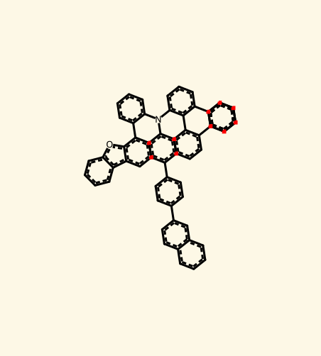 c1ccc(-c2ccccc2-c2c(-c3ccccc3)cccc2N(c2ccc(-c3ccc(-c4ccc5ccccc5c4)cc3)cc2)c2ccccc2-c2cccc3c2oc2ccccc23)cc1